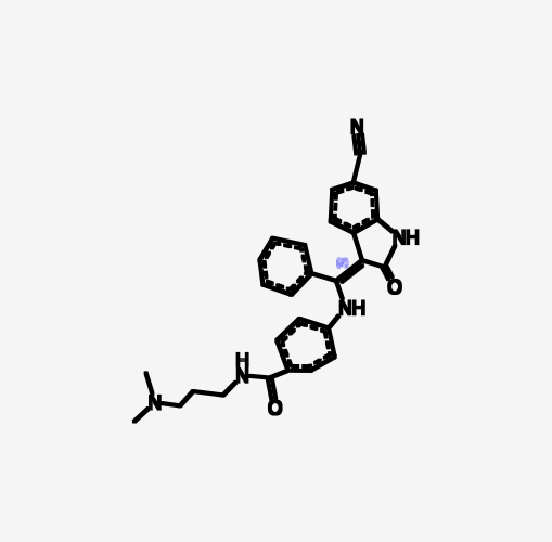 CN(C)CCCNC(=O)c1ccc(N/C(=C2\C(=O)Nc3cc(C#N)ccc32)c2ccccc2)cc1